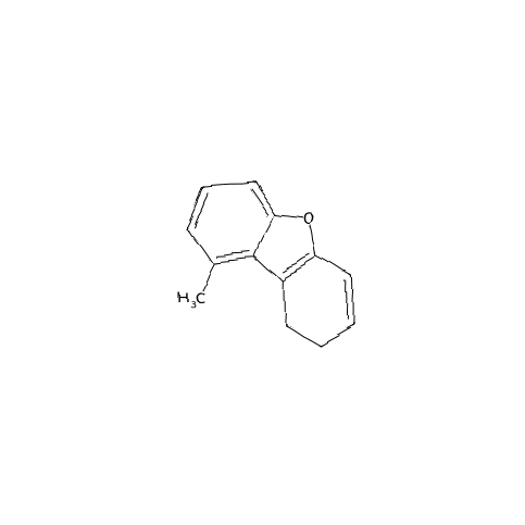 Cc1cccc2oc3c(c12)CCC=C3